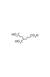 O=C(O)CCCC(CCC(=O)O)C(=O)O